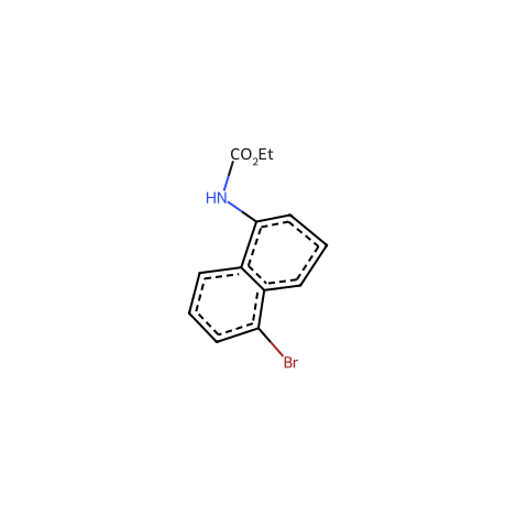 CCOC(=O)Nc1cccc2c(Br)cccc12